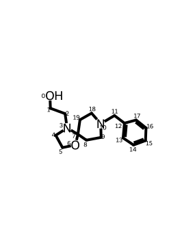 OCCN1CCOC12CCN(Cc1ccccc1)CC2